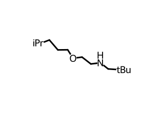 CC(C)CCCOCCNCC(C)(C)C